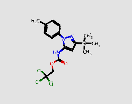 Cc1ccc(-n2nc([Si](C)(C)C)cc2NC(=O)OCC(Cl)(Cl)Cl)cc1